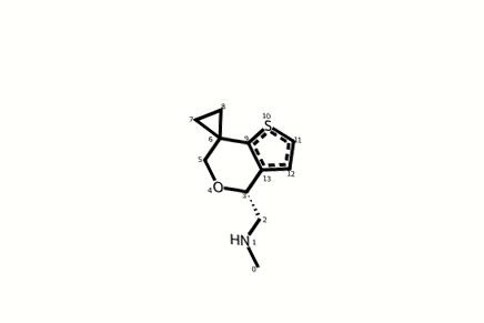 CNC[C@@H]1OCC2(CC2)c2sccc21